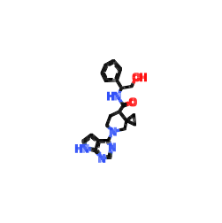 O=C(NC(CO)c1ccccc1)C1CCN(c2ncnc3[nH]ccc23)CC12CC2